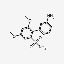 COc1cc(OC)c(-c2cccc(N)c2)c(S(N)(=O)=O)c1